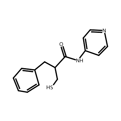 O=C(Nc1ccncc1)C(CS)Cc1ccccc1